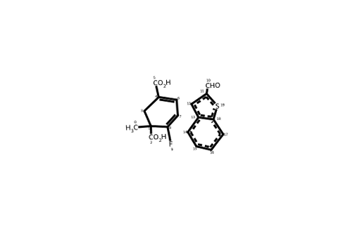 CC1(C(=O)O)CC(C(=O)O)=CC=C1F.O=Cc1cc2ccccc2s1